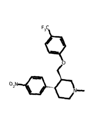 CN1CC[C@H](c2ccc([N+](=O)[O-])cc2)[C@@H](COc2ccc(C(F)(F)F)cc2)C1